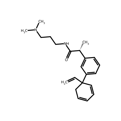 C=CC1(c2cccc([C@@H](C)C(=O)NCCCN(C)C)c2)C=CC=CC1